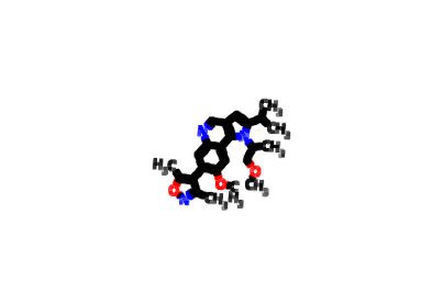 COCC(C)n1c(C(C)C)cc2cnc3cc(-c4c(C)noc4C)c(OC)cc3c21